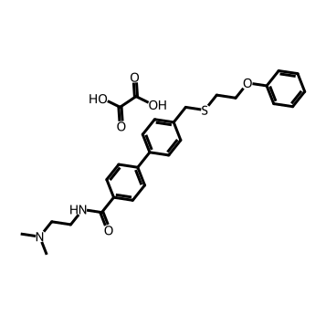 CN(C)CCNC(=O)c1ccc(-c2ccc(CSCCOc3ccccc3)cc2)cc1.O=C(O)C(=O)O